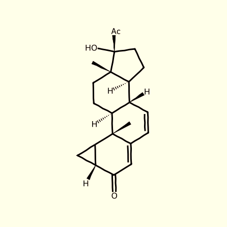 CC(=O)[C@@]1(O)CC[C@H]2[C@@H]3C=CC4=CC(=O)[C@@H]5CC5[C@]4(C)[C@H]3CC[C@@]21C